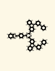 c1ccc(-c2cccc(C3c4ccccc4-c4cc(-c5nc(-c6ccc(-c7nc8ccccc8o7)cc6)nc(-c6ccc7c(c6)-c6ccccc6C7c6cccc(-c7ccccc7)c6)n5)ccc43)c2)cc1